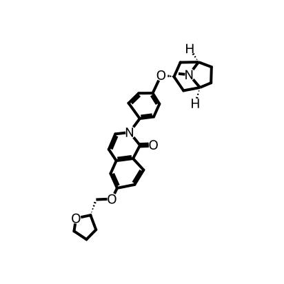 CN1[C@@H]2CC[C@H]1C[C@H](Oc1ccc(-n3ccc4cc(OC[C@@H]5CCCO5)ccc4c3=O)cc1)C2